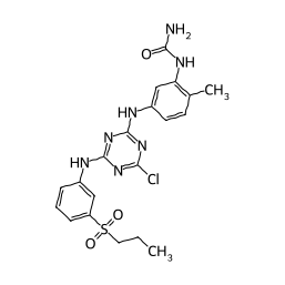 CCCS(=O)(=O)c1cccc(Nc2nc(Cl)nc(Nc3ccc(C)c(NC(N)=O)c3)n2)c1